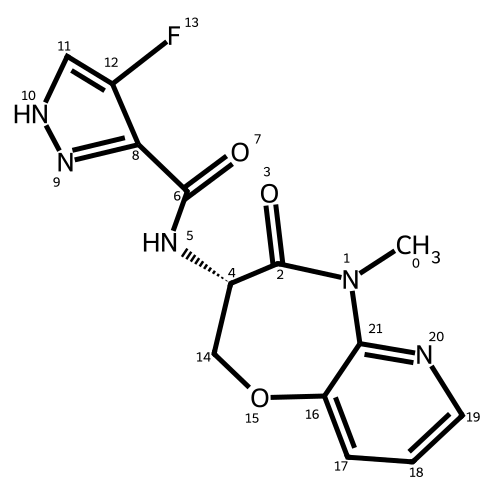 CN1C(=O)[C@@H](NC(=O)c2n[nH]cc2F)COc2cccnc21